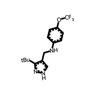 CC(C)(C)c1n[nH]cc1CNc1ccc(OC(F)(F)F)cc1